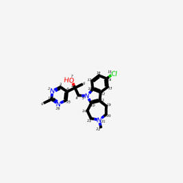 Cc1ncc(C(C)(O)Cn2c3c(c4cc(Cl)ccc42)CCN(C)CC3)cn1